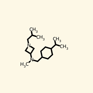 CC(C)CN1CC(N(C)CC2CCC(C(C)C)CC2)C1